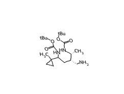 C[C@@H](NC(=O)OC(C)(C)C)[C@H](CN)CC(NC(=O)OC(C)(C)C)C1(C)CC1